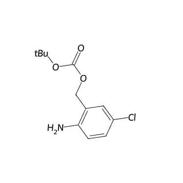 CC(C)(C)OC(=O)OCc1cc(Cl)ccc1N